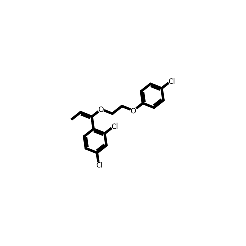 CC=C(OCCOc1ccc(Cl)cc1)c1ccc(Cl)cc1Cl